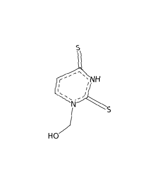 OCn1ccc(=S)[nH]c1=S